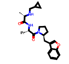 CC(C)[C@H](NC(=O)[C@H](C)NCC1CC1)C(=O)N1CCC[C@H]1Cc1coc2ccccc12